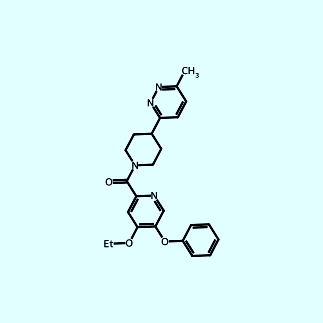 CCOc1cc(C(=O)N2CCC(c3ccc(C)nn3)CC2)ncc1Oc1ccccc1